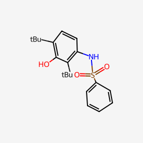 CC(C)(C)c1ccc(NS(=O)(=O)c2ccccc2)c(C(C)(C)C)c1O